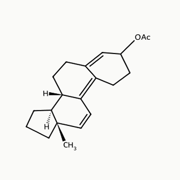 CC(=O)OC1C=C2CC[C@@H]3C(=C2CC1)C=C[C@]1(C)CCC[C@@H]31